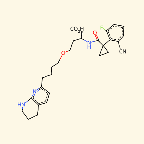 N#Cc1cccc(F)c1C1(C(=O)N[C@@H](CCOCCCCc2ccc3c(n2)NCCC3)C(=O)O)CC1